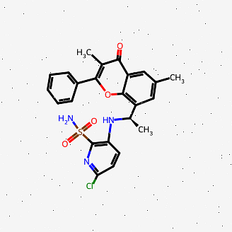 Cc1cc([C@@H](C)Nc2ccc(Cl)nc2S(N)(=O)=O)c2oc(-c3ccccc3)c(C)c(=O)c2c1